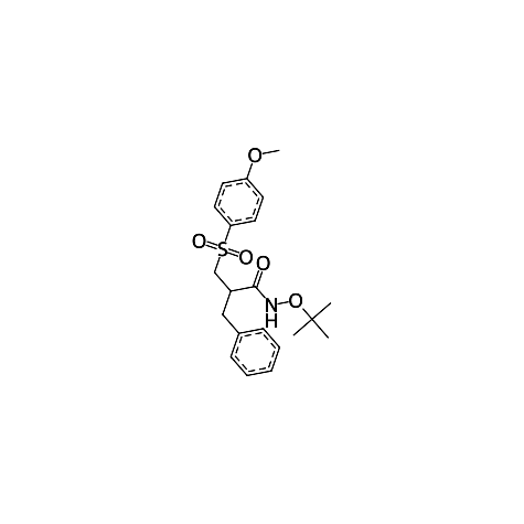 COc1ccc(S(=O)(=O)CC(Cc2ccccc2)C(=O)NOC(C)(C)C)cc1